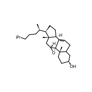 CC(C)CCC[C@@H](C)[C@H]1CC[C@H]2C3=CCC4C[C@@H](O)CC[C@]4(C)[C@]34O[C@@H]4C[C@]12C